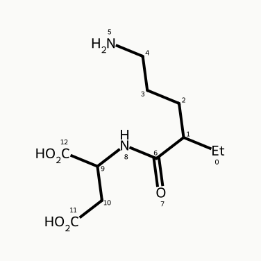 CCC(CCCN)C(=O)NC(CC(=O)O)C(=O)O